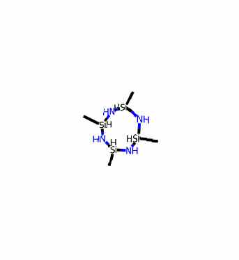 C[SiH]1N[SiH](C)N[SiH](C)N[SiH](C)N1